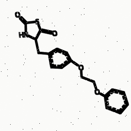 O=C1NC(Cc2ccc(OCCOc3ccccc3)cc2)C(=O)S1